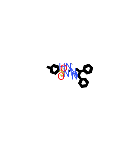 CN/C(=N\S(=O)(=O)c1ccc(C)cc1)N1CC(c2ccccc2)C(c2ccccc2)=N1